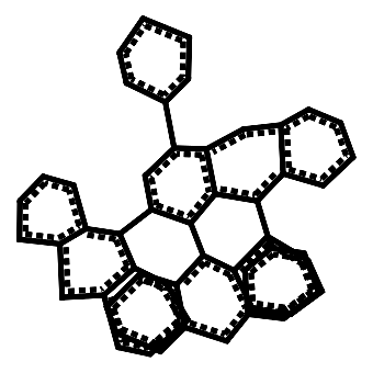 c1ccc(-c2cc(-c3c4ccccc4cc4ccccc34)c(-c3c4ccccc4cc4ccccc34)c3c(-c4ccccc4)c4ccccc4cc23)cc1